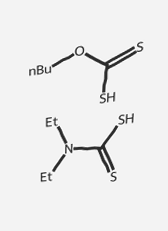 CCCCOC(=S)S.CCN(CC)C(=S)S